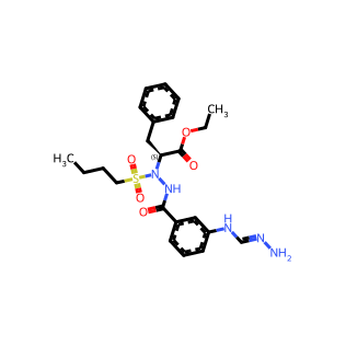 CCCCS(=O)(=O)N(NC(=O)c1cccc(NC=NN)c1)[C@@H](Cc1ccccc1)C(=O)OCC